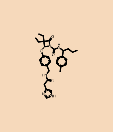 CCCC(NC(=O)N1C(=O)C(CC)(CC)[C@@H]1Oc1ccc(CNC(=O)Cc2c[nH]cn2)cc1)c1ccc(C)cc1